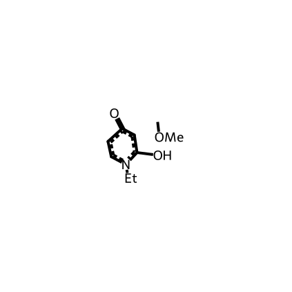 CCn1ccc(=O)cc1O.COC